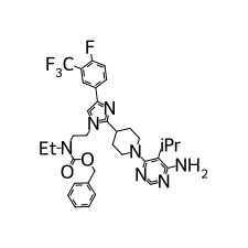 CCN(CCn1cc(-c2ccc(F)c(C(F)(F)F)c2)nc1C1CCN(c2ncnc(N)c2C(C)C)CC1)C(=O)OCc1ccccc1